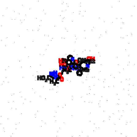 CCC1(O)CC2CN(CCc3c([nH]c4ccccc34)[C@@](C(=O)OC)(c3cc4c(cc3OC)N(C)C3C45CCN4CC=C[C@](CC)(C45)[C@@H](O)[C@]3(O)C(=O)NCCCOC(=O)C(C)NCC(N)C(=O)O)C2)C1